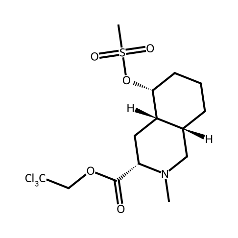 CN1C[C@H]2CCC[C@@H](OS(C)(=O)=O)[C@H]2C[C@H]1C(=O)OCC(Cl)(Cl)Cl